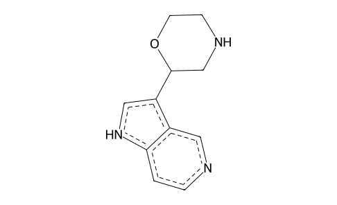 c1cc2[nH]cc(C3CNCCO3)c2cn1